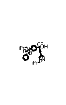 CC(C)CN(c1ccc(C(O)(C#Cc2cnn(CC(C)C)c2)C(F)(F)F)cc1)S(=O)(=O)c1ccccc1